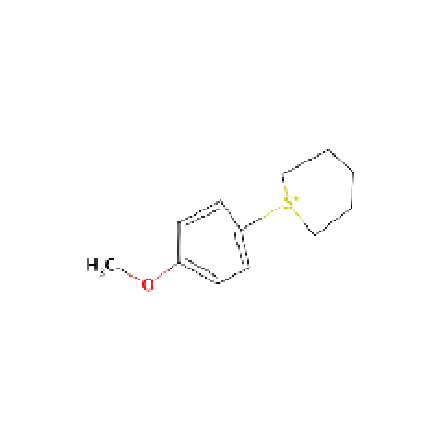 COc1ccc([S+]2CCCCC2)cc1